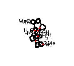 COc1cccc(C2C=CC=CC3=C2C=C(C)[C]32[SiH](C)[C]3(C(C)=CC4=C3C=CC=CC4c3cccc(OC)c3)[Zr]23([Cl])([Cl])[C]2(C(C)=CC4=C2C=CC=CC4c2cccc(OC)c2)[SiH](C)[C]32C(C)=CC3=C2C=CC=CC3c2cccc(OC)c2)c1